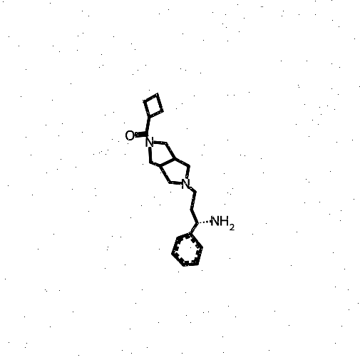 N[C@@H](CCN1CC2CN(C(=O)C3CCC3)CC2C1)c1ccccc1